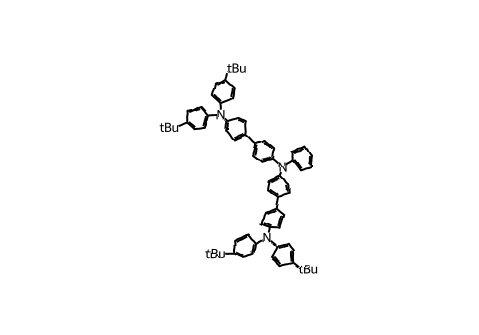 CC(C)(C)c1ccc(N(c2ccc(-c3ccc(N(c4ccccc4)c4ccc(-c5ccc(N(c6ccc(C(C)(C)C)cc6)c6ccc(C(C)(C)C)cc6)cc5)cc4)cc3)cc2)c2ccc(C(C)(C)C)cc2)cc1